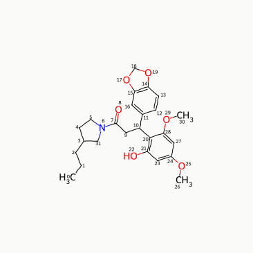 CCCC1CCN(C(=O)CC(c2ccc3c(c2)OCO3)c2c(O)cc(OC)cc2OC)C1